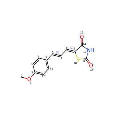 COc1ccc(/C=C/C=C2\SC(=O)NC2=O)cc1